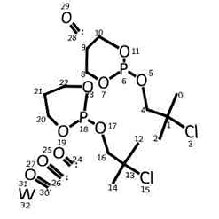 CC(C)(Cl)COP1OCCCO1.CC(C)(Cl)COP1OCCCO1.[C]=O.[C]=O.[C]=O.[C]=O.[W]